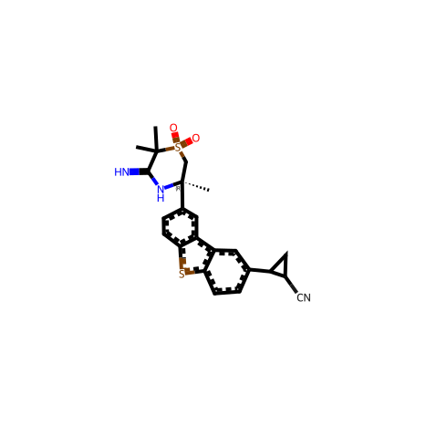 CC1(C)C(=N)N[C@](C)(c2ccc3sc4ccc(C5CC5C#N)cc4c3c2)CS1(=O)=O